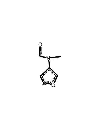 CN([C]=O)c1c[c]oc1